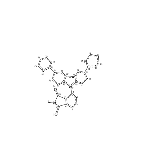 CN1C(=O)c2cccc(-n3c4ccc(-c5ccccn5)cc4c4cc(-c5ccccn5)ccc43)c2C1=O